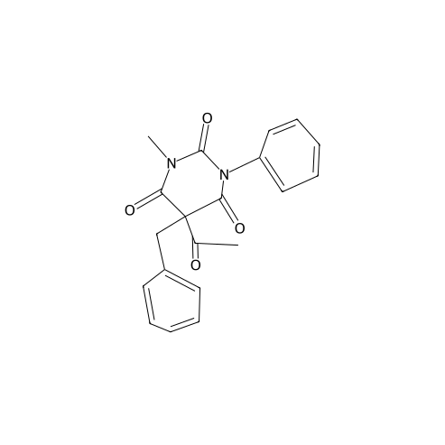 CC(=O)C1(Cc2ccccc2)C(=O)N(C)C(=O)N(c2ccccc2)C1=O